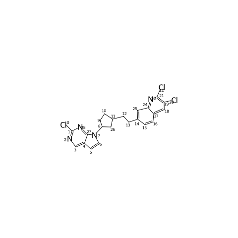 Clc1ncc2ccn(C3CCC(CCc4ccc5cc(Cl)c(Cl)nc5c4)C3)c2n1